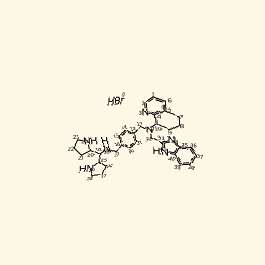 Br.c1cnc2c(c1)CCCC2N(Cc1ccc(CNC(C2CCCN2)C2CCCN2)cc1)Cc1nc2ccccc2[nH]1